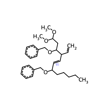 C=CC(/C=C/C(CCCCC)OCc1ccccc1)C(CC(OC)OC)OCc1ccccc1